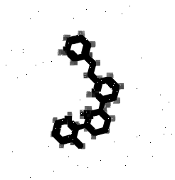 Cc1cccnc1[C@@H]1CCC[C@H](c2cccc(CCc3cccnc3)n2)N1